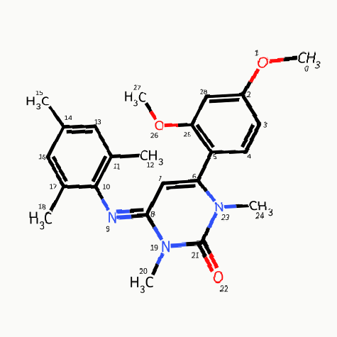 COc1ccc(-c2cc(=Nc3c(C)cc(C)cc3C)n(C)c(=O)n2C)c(OC)c1